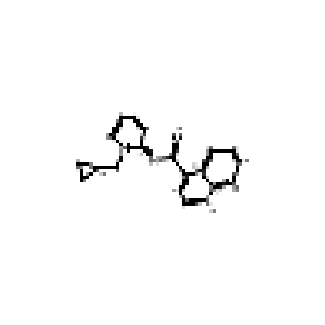 O=C(/N=c1\ccccn1CC1CC1)c1ccnc2ccccc12